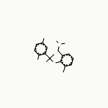 CCN(CC)Cc1cccc(C)c1PC(C)(CC)c1cc(I)ccc1O